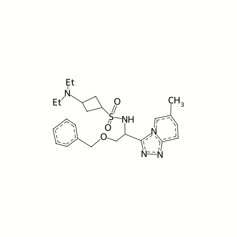 CCN(CC)C1CC(S(=O)(=O)NC(COCc2ccccc2)c2nnc3ccc(C)cn23)C1